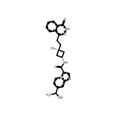 CC[C@]1(CCc2n[nH]c(=O)c3ccccc23)C[C@H](NC(=O)c2cnc3cc(C(C)O)ccn23)C1